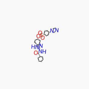 O=C(Nc1nc2cc(OS(=O)(=O)c3ccc(-n4ccnc4)cc3)ccc2[nH]1)c1ccccc1